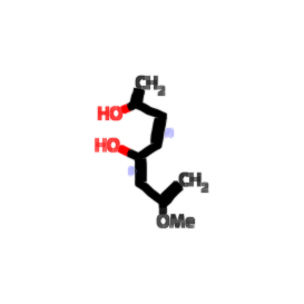 C=C(O)/C=C\C(O)=C/C(=C)OC